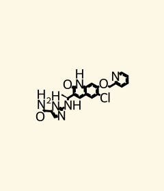 C[C@H](Nc1ncc(C(N)=O)[nH]1)c1cc2cc(Cl)c(OCc3ccccn3)cc2[nH]c1=O